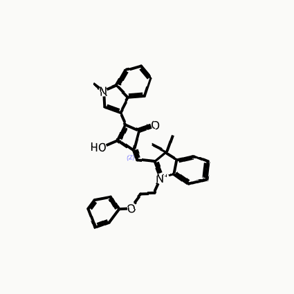 Cn1cc(C2=C(O)/C(=C/C3=[N+](CCOc4ccccc4)c4ccccc4C3(C)C)C2=O)c2ccccc21